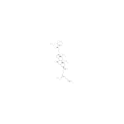 CC(C)NC(=O)CCC[C@H]1CCC2C3C(=O)CC4C[C@@H](NCCCN(C)CCCN)CC[C@]4(C)C3CC[C@@]21C